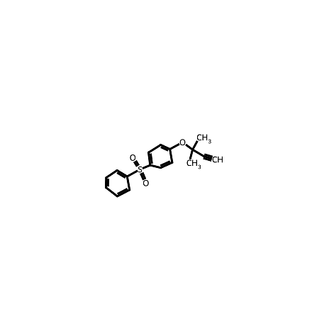 C#CC(C)(C)Oc1ccc(S(=O)(=O)c2ccccc2)cc1